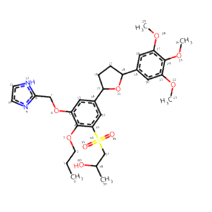 CCCOc1c(OCc2ncc[nH]2)cc(C2CCC(c3cc(OC)c(OC)c(OC)c3)O2)cc1S(=O)(=O)CC(C)O